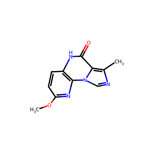 COc1ccc2[nH]c(=O)c3c(C)ncn3c2n1